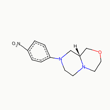 O=[N+]([O-])c1ccc(N2CCN3CCOC[C@H]3C2)cc1